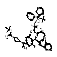 C[C@@H]1Cn2c(cc3ccccc32)[C@@H](c2c(F)cc(C(O)C3CN(C(=O)OC(C)(C)C)C3)cc2F)N1CC(F)(F)CO[Si](c1ccccc1)(c1ccccc1)C(C)(C)C